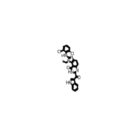 O=C(c1nc2ccc3nc(Nc4c(Cl)cccc4Cl)n(CI)c3c2c(=O)[nH]1)c1c[nH]c2ccccc12